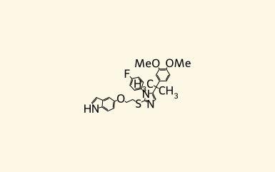 COc1ccc(C(C)(C)c2cnc(SCCOc3ccc4[nH]ccc4c3)n2-c2ccc(F)cc2)cc1OC